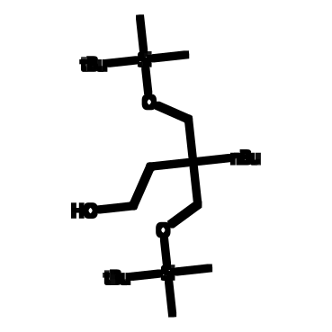 CCCCC(CCO)(CO[Si](C)(C)C(C)(C)C)CO[Si](C)(C)C(C)(C)C